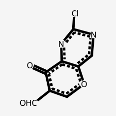 O=Cc1coc2cnc(Cl)nc2c1=O